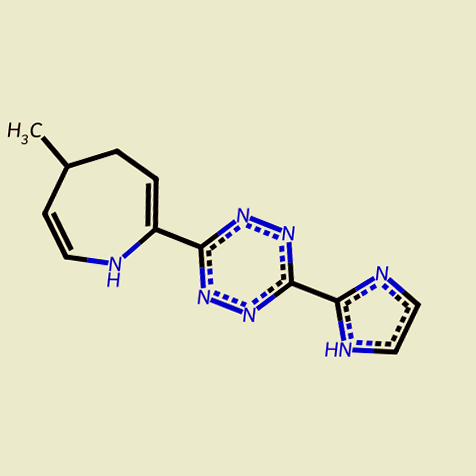 CC1C=CNC(c2nnc(-c3ncc[nH]3)nn2)=CC1